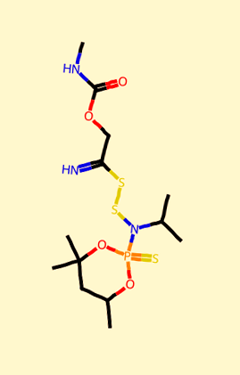 CNC(=O)OCC(=N)SSN(C(C)C)P1(=S)OC(C)CC(C)(C)O1